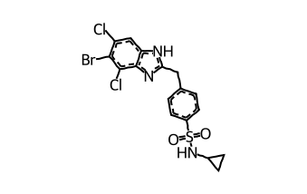 O=S(=O)(NC1CC1)c1ccc(Cc2nc3c(Cl)c(Br)c(Cl)cc3[nH]2)cc1